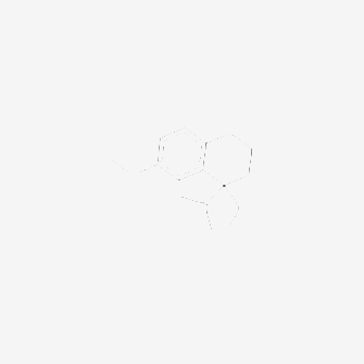 COc1ccc2c(c1)C(CO)(N(C)C)CCS2